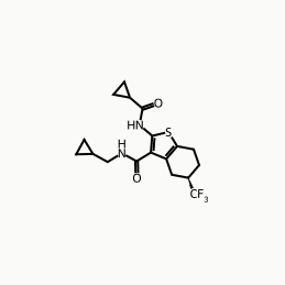 O=C(NCC1CC1)c1c(NC(=O)C2CC2)sc2c1C[C@H](C(F)(F)F)CC2